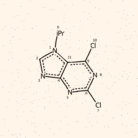 CC(C)n1cnc2nc(Cl)nc(Cl)c21